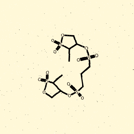 CC1C(OS(=O)(=O)CCCS(=O)(=O)OC2COS(=O)(=O)C2C)COS1(=O)=O